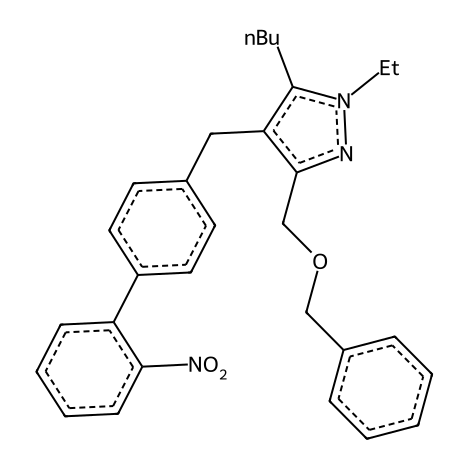 CCCCc1c(Cc2ccc(-c3ccccc3[N+](=O)[O-])cc2)c(COCc2ccccc2)nn1CC